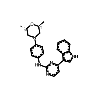 C[C@H]1CN(c2ccc(Nc3nccc(-c4c[nH]c5ccccc45)n3)cc2)C[C@H](C)O1